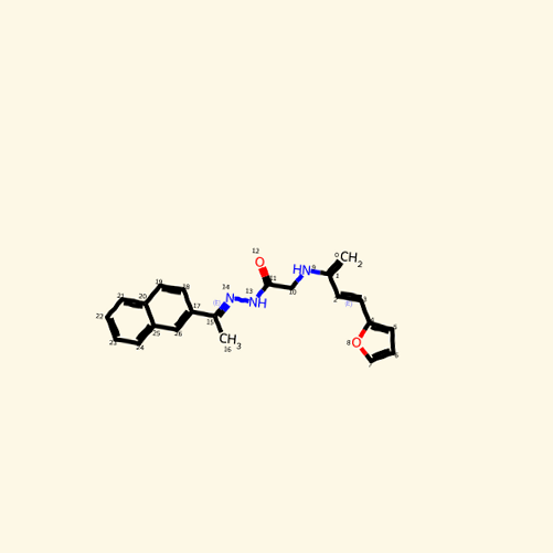 C=C(/C=C/c1ccco1)NCC(=O)N/N=C(\C)c1ccc2ccccc2c1